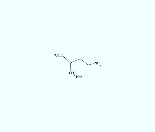 CC(CCN)C(=O)[O-].[Na+]